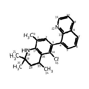 Cc1cc(-c2cccc3cccnc23)c(Cl)c2c1NC(C)(C)CC2C